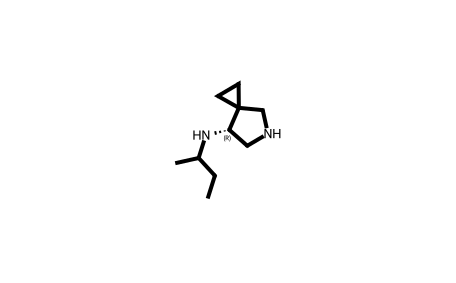 CCC(C)N[C@H]1CNCC12CC2